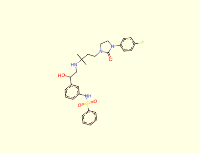 CC(C)(CCN1CCN(c2ccc(F)cc2)C1=O)NCC(O)c1cccc(NS(=O)(=O)c2ccccc2)c1